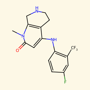 Cn1c2c(c(Nc3ccc(F)cc3C(F)(F)F)cc1=O)CCNC2